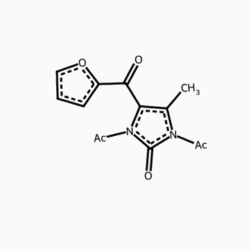 CC(=O)n1c(C)c(C(=O)c2ccco2)n(C(C)=O)c1=O